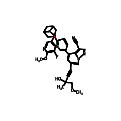 COCC(C)(O)C#Cc1cc(-c2ccc(N3CC4CC(C3)N4Cc3cnc(OC)c(F)c3)nc2)c2c(C#N)cnn2c1